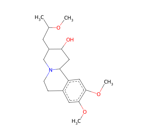 COc1cc2c(cc1OC)C1CC(O)C(CC(C)OC)CN1CC2